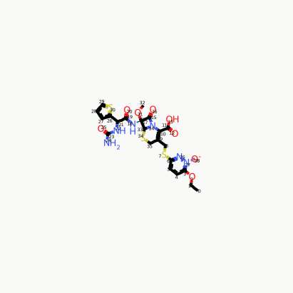 CCOc1ccc(SCC2=C(C(=O)O)N3C(=O)[C@](NC(=O)C(NC(N)=O)c4cccs4)(OC)C3SC2)n[n+]1[O-]